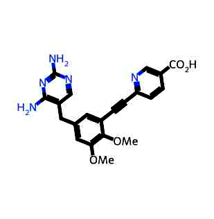 COc1cc(Cc2cnc(N)nc2N)cc(C#Cc2ccc(C(=O)O)cn2)c1OC